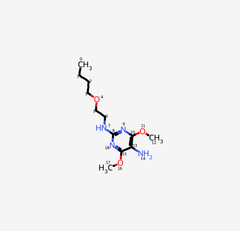 CCCCOCCNc1nc(OC)c(N)c(OC)n1